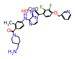 Cc1cc(Nc2nccn3c(-c4ccc(OCc5cccnc5)c(F)c4F)cnc23)ccc1C(=O)N1CCC(CN)CC1.O=CO